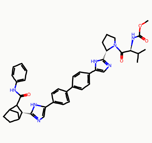 COC(=O)N[C@H](C(=O)N1CCC[C@H]1c1ncc(-c2ccc(-c3ccc(-c4cnc([C@@H]5C6CCC(C6)C5C(=O)Nc5ccccc5)[nH]4)cc3)cc2)[nH]1)C(C)C